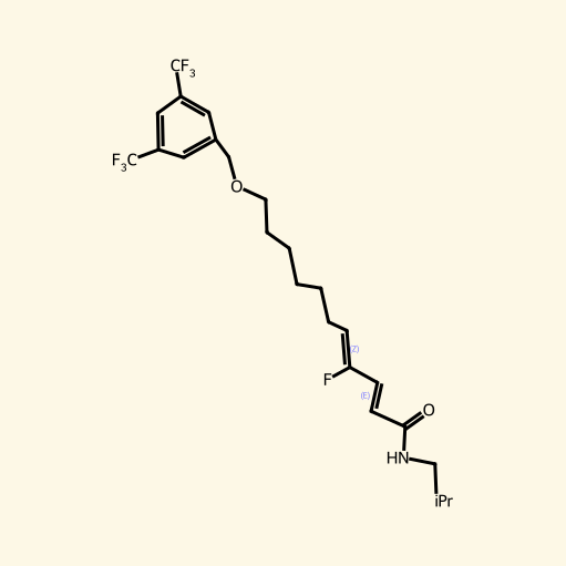 CC(C)CNC(=O)/C=C/C(F)=C/CCCCCCOCc1cc(C(F)(F)F)cc(C(F)(F)F)c1